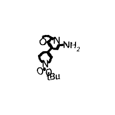 CC(C)(C)OC(=O)N1CC=C(c2cc(N)nc3c2OCC3)CCC1